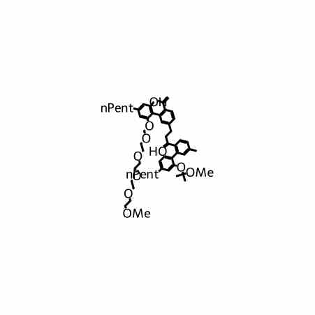 C=C(C)c1ccc(CCC(=C)c2ccc(C)cc2-c2c(O)cc(CCCCC)cc2OC(C)(C)OC)cc1-c1c(O)cc(CCCCC)cc1OCOCCOCCOCCOCCOC